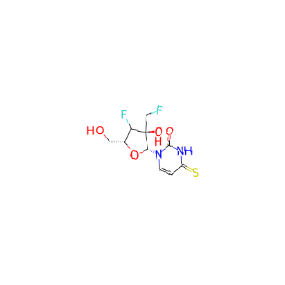 O=c1[nH]c(=S)ccn1[C@@H]1O[C@H](CO)C(F)[C@]1(O)CF